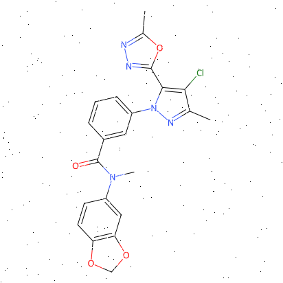 Cc1nnc(-c2c(Cl)c(C)nn2-c2cccc(C(=O)N(C)c3ccc4c(c3)OCO4)c2)o1